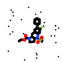 CCOC(=O)N1CC[C@H](NS(C)(=O)=O)[C@@H]1Cc1ccc(F)c(-c2ccccc2)c1